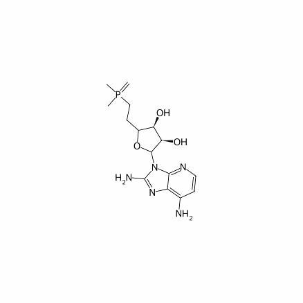 C=P(C)(C)CCC1OC(n2c(N)nc3c(N)ccnc32)[C@H](O)[C@@H]1O